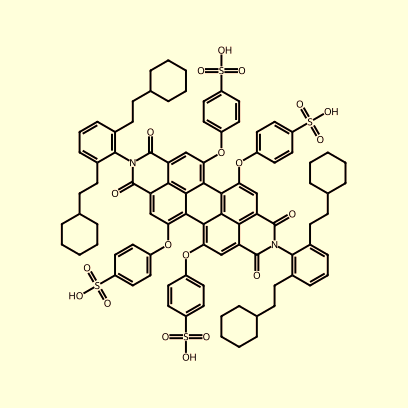 O=C1c2cc(Oc3ccc(S(=O)(=O)O)cc3)c3c4c(Oc5ccc(S(=O)(=O)O)cc5)cc5c6c(cc(Oc7ccc(S(=O)(=O)O)cc7)c(c7c(Oc8ccc(S(=O)(=O)O)cc8)cc(c2c37)C(=O)N1c1c(CCC2CCCCC2)cccc1CCC1CCCCC1)c64)C(=O)N(c1c(CCC2CCCCC2)cccc1CCC1CCCCC1)C5=O